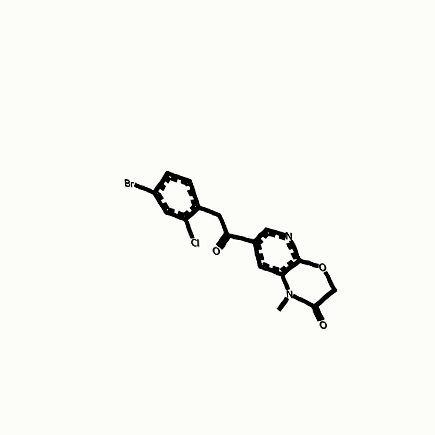 CN1C(=O)COc2ncc(C(=O)Cc3ccc(Br)cc3Cl)cc21